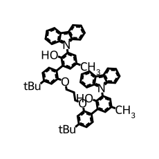 Cc1cc(-c2ccc(C(C)(C)C)cc2OCCCOc2cc(C(C)(C)C)ccc2-c2cc(C)cc(-n3c4ccccc4c4ccccc43)c2O)c(O)c(-n2c3ccccc3c3ccccc32)c1